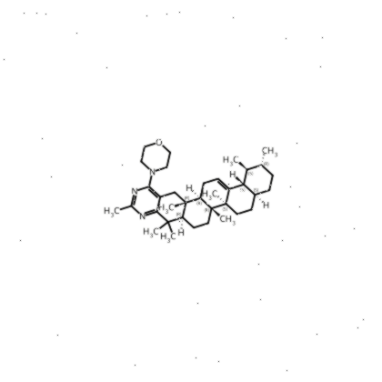 Cc1nc(N2CCOCC2)c2c(n1)C(C)(C)[C@@H]1CC[C@]3(C)[C@H](CC=C4[C@H]5[C@@H](CC[C@@H](C)[C@@H]5C)CC[C@]43C)[C@@]1(C)C2